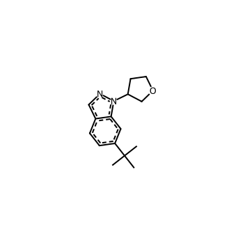 CC(C)(C)c1ccc2cnn(C3CCOC3)c2c1